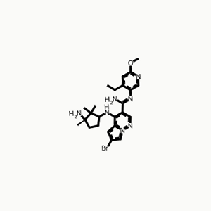 CCc1cc(OC)ncc1/N=C(\N)c1cnn2cc(Br)cc2c1NC1CC[C@](C)(N)C1(C)C